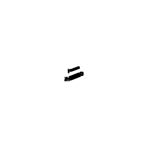 CF.[O]=[Zn]